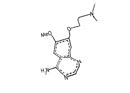 COc1cc2c(N)ncnc2cc1OCCN(C)C